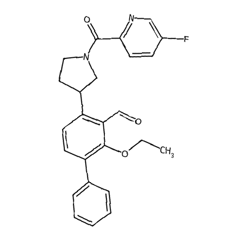 CCOc1c(-c2ccccc2)ccc(C2CCN(C(=O)c3ccc(F)cn3)C2)c1C=O